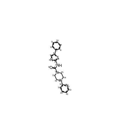 O=C(Nc1ncc(-c2ccccc2)s1)N1CCN(c2ccccn2)CC1